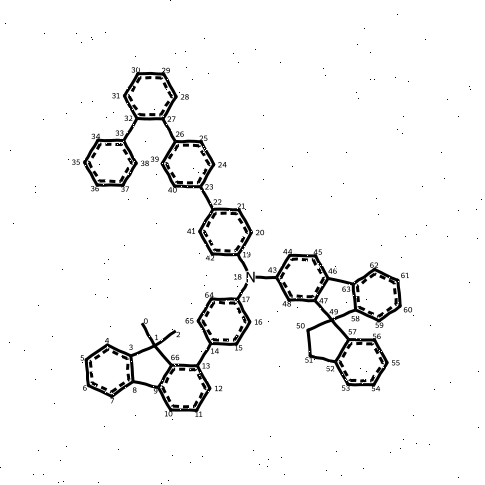 CC1(C)c2ccccc2-c2cccc(-c3ccc(N(c4ccc(-c5ccc(-c6ccccc6-c6ccccc6)cc5)cc4)c4ccc5c(c4)C4(CCc6ccccc64)c4ccccc4-5)cc3)c21